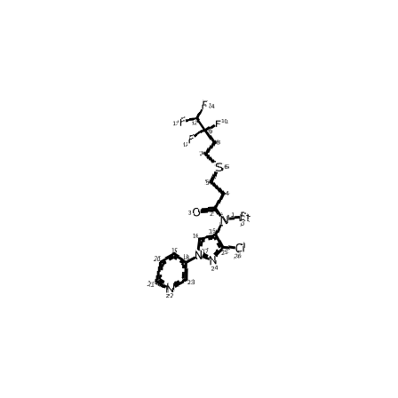 CCN(C(=O)CCSCCC(F)(F)C(F)F)c1cn(-c2cccnc2)nc1Cl